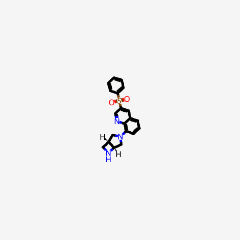 O=S(=O)(c1ccccc1)c1cnc2c(N3C[C@@H]4CN[C@@H]4C3)cccc2c1